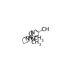 C#Cc1ccc(N2CC3CCC(C2)N3C(=O)N(C)C)nc1